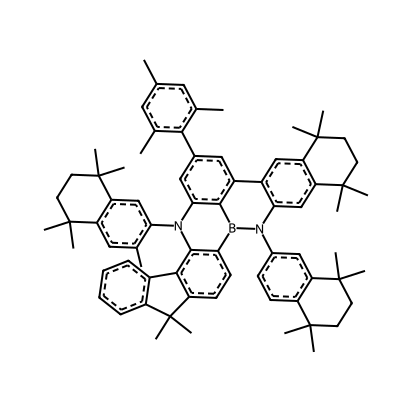 Cc1cc(C)c(-c2cc3c4c(c2)N(c2cc5c(cc2C)C(C)(C)CCC5(C)C)c2c(ccc5c2-c2ccccc2C5(C)C)B4N(c2ccc4c(c2)C(C)(C)CCC4(C)C)c2cc4c(cc2-3)C(C)(C)CCC4(C)C)c(C)c1